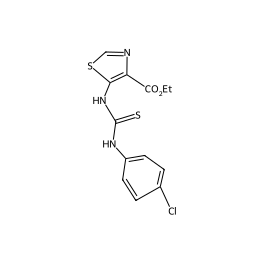 CCOC(=O)c1ncsc1NC(=S)Nc1ccc(Cl)cc1